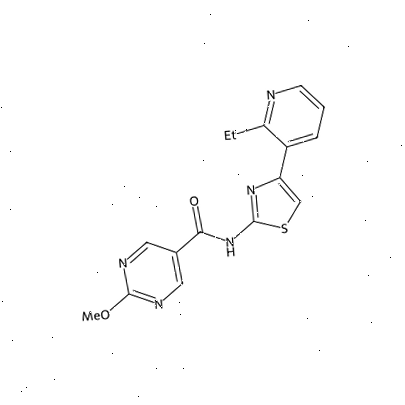 CCc1ncccc1-c1csc(NC(=O)c2cnc(OC)nc2)n1